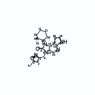 Cc1cc(Cn2c(=O)n([C@H]3CCCC[C@H]3C)c3c4cc[nH]c4ncc32)no1